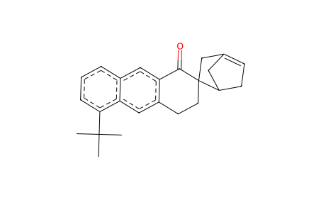 CC(C)(C)c1cccc2cc3c(cc12)CCC1(CC2=CCC1C2)C3=O